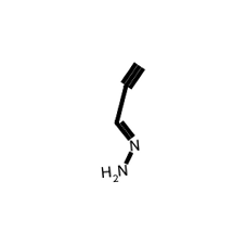 C#CC=NN